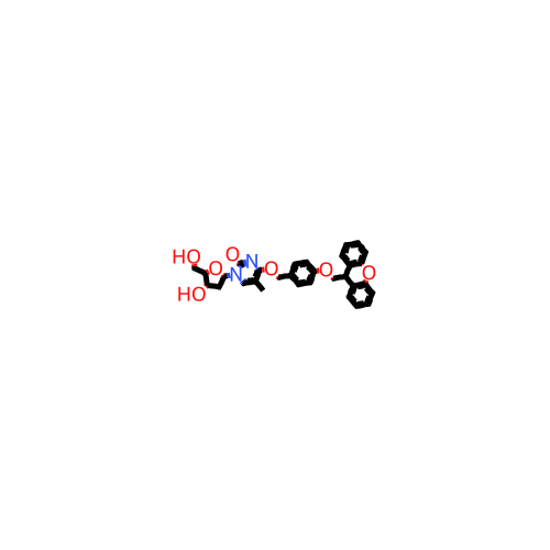 Cc1cn(C2CC(O)C(CO)O2)c(=O)nc1OCc1ccc(OCC2c3ccccc3Oc3ccccc32)cc1